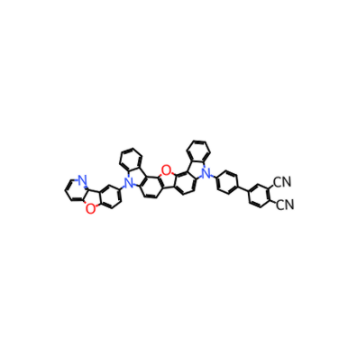 N#Cc1ccc(-c2ccc(-n3c4ccccc4c4c5oc6c(ccc7c6c6ccccc6n7-c6ccc7oc8cccnc8c7c6)c5ccc43)cc2)cc1C#N